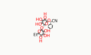 CC[C@H]1O[C@@H](OC[C@H]2O[C@@H](OC(C#N)c3ccccc3)[C@H](O)[C@@H](O)[C@@H]2O)[C@H](O)[C@@H](O)[C@@H]1O